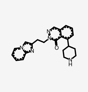 O=c1c2c(C3CCNCC3)cccc2cnn1CCc1cn2ccccc2n1